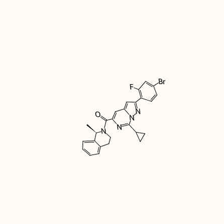 C[C@@H]1c2ccccc2CCN1C(=O)c1cc2cc(-c3ccc(Br)cc3F)nn2c(C2CC2)n1